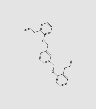 C=CCc1ccccc1OCc1cccc(COc2ccccc2CC=C)c1